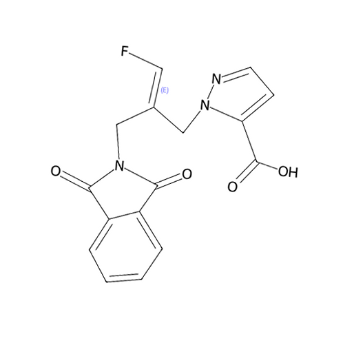 O=C(O)c1ccnn1C/C(=C/F)CN1C(=O)c2ccccc2C1=O